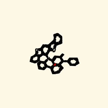 CC1C=C(N(c2ccccc2-c2ccccc2)c2c3oc4ccccc4c3cc3oc4ccccc4c23)C=CC1c1ccccc1